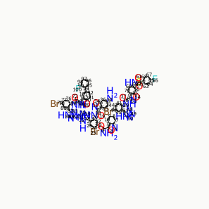 NC(=O)c1onc2ccccc12.Nc1ccc2c(C(=O)Nc3ccc(Br)cc3-c3nnn[nH]3)noc2c1.O=C(Nc1ccc(Br)cc1-c1nnn[nH]1)c1noc2cc(NS(=O)(=O)c3ccc(F)cc3)ccc12.O=C(Nc1ccc(Br)cc1-c1nnn[nH]1)c1noc2ccc(-c3ccccc3F)cc12